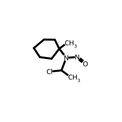 CC(Cl)N(N=O)C1(C)CCCCC1